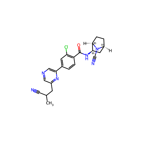 CC(C#N)Cc1cncc(-c2ccc(C(=O)N[C@@H]3C[C@@H]4CC[C@H]3N4C#N)c(Cl)c2)n1